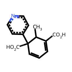 CC1C(C(=O)O)=CC=CC1(C(=O)O)c1ccncc1